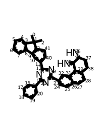 CC1(C)c2ccccc2-c2cc(-c3nc(-c4ccccc4)nc(-c4ccc5ccc6c(c5c4)C(=N)C(=N)C=C6)n3)ccc21